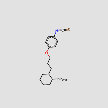 CCCCCC1CCCCC1CCCOc1ccc(N=C=S)cc1